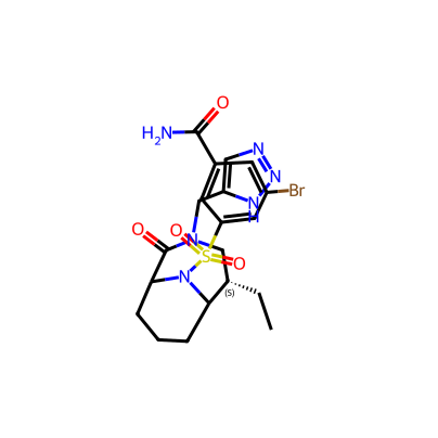 CC[C@H]1CN(Cc2cnn[nH]2)C(=O)C2CCCC1N2S(=O)(=O)c1cc(Br)cc(C(N)=O)c1